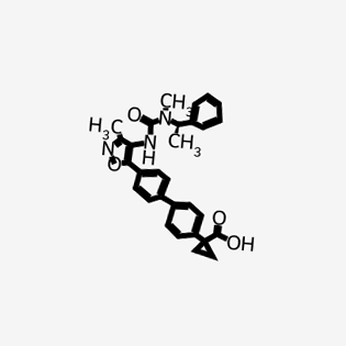 Cc1noc(-c2ccc(-c3ccc(C4(C(=O)O)CC4)cc3)cc2)c1NC(=O)N(C)[C@H](C)c1ccccc1